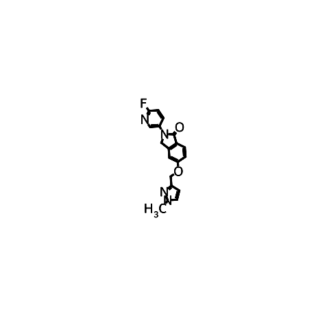 Cn1ccc(COc2ccc3c(c2)CN(c2ccc(F)nc2)C3=O)n1